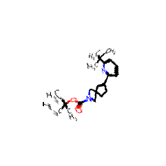 CC(C)(C)OC(=O)N1CC2(C=C(c3cccc(C(C)(C)C)n3)CC2)C1